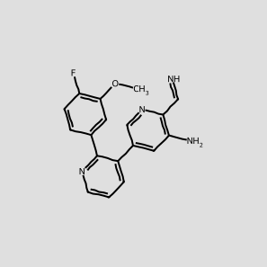 COc1cc(-c2ncccc2-c2cnc(C=N)c(N)c2)ccc1F